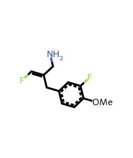 COc1ccc(C/C(=C\F)CN)cc1F